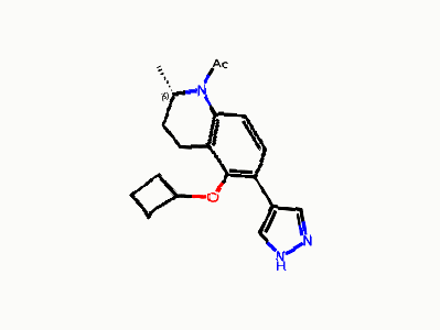 CC(=O)N1c2ccc(-c3cn[nH]c3)c(OC3CCC3)c2CC[C@@H]1C